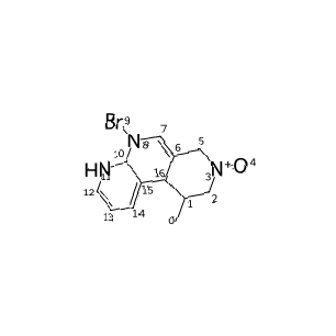 CC1C[N+](=O)CC2=CN(Br)C3NC=CC=C3C21